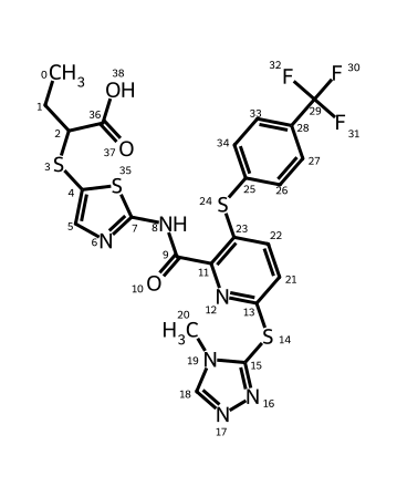 CCC(Sc1cnc(NC(=O)c2nc(Sc3nncn3C)ccc2Sc2ccc(C(F)(F)F)cc2)s1)C(=O)O